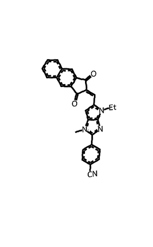 CCn1c(C=C2C(=O)c3cc4ccccc4cc3C2=O)cc2c1nc(-c1ccc(C#N)cc1)n2C